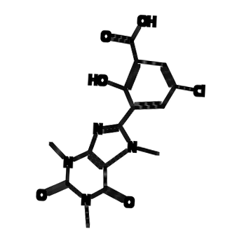 Cn1c(=O)c2c(nc(-c3cc(Cl)cc(C(=O)O)c3O)n2C)n(C)c1=O